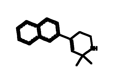 CC1(C)C=C(c2ccc3ccccc3c2)CCN1